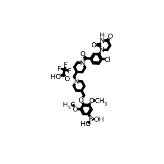 COc1cc(B(O)O)cc(OC)c1OCC1CCN(CC2CCN(C(=O)c3ccc(Cl)c(N4CCC(=O)NC4=O)c3)CC2)CC1.O=C(O)C(F)(F)F